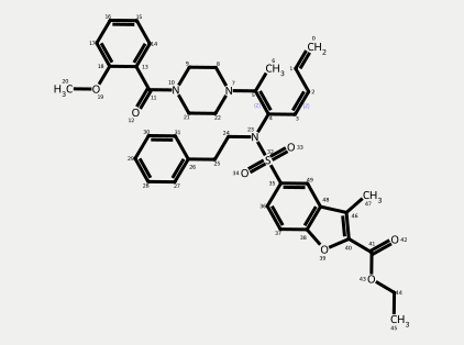 C=C/C=C\C(=C(/C)N1CCN(C(=O)c2ccccc2OC)CC1)N(CCc1ccccc1)S(=O)(=O)c1ccc2oc(C(=O)OCC)c(C)c2c1